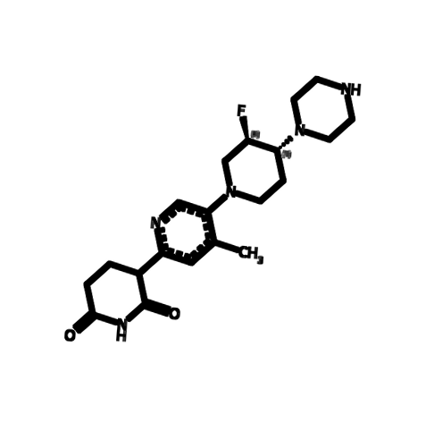 Cc1cc(C2CCC(=O)NC2=O)ncc1N1CC[C@@H](N2CCNCC2)[C@H](F)C1